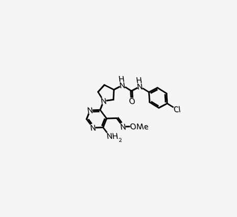 CON=Cc1c(N)ncnc1N1CCC(NC(=O)Nc2ccc(Cl)cc2)C1